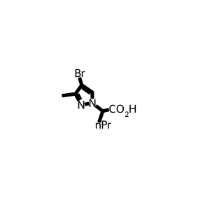 CCCC(C(=O)O)n1cc(Br)c(C)n1